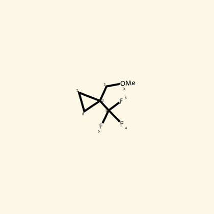 COCC1(C(F)(F)F)CC1